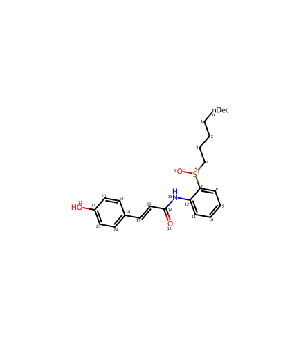 CCCCCCCCCCCCCC[S+]([O-])c1ccccc1NC(=O)C=Cc1ccc(O)cc1